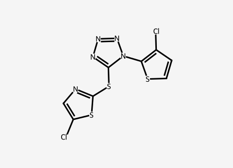 Clc1cnc(Sc2nnnn2-c2sccc2Cl)s1